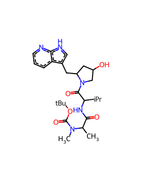 CC(C)C(NC(=O)C(C)N(C)C(=O)OC(C)(C)C)C(=O)N1CC(O)CC1Cc1c[nH]c2ncccc12